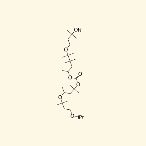 CC(C)OCCC(C)(C)OC(C)CC(C)(C)OC(=O)OC(C)CC(C)(C)C(C)(C)OCCC(C)(C)O